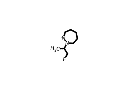 CC(CF)N1CCCCC[N]1